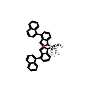 [CH3][Zr]([CH3])(=[SiH2])([CH]1C=Cc2c(-c3cccc4ccccc34)cccc21)[CH]1C=Cc2c(-c3cccc4ccccc34)cccc21